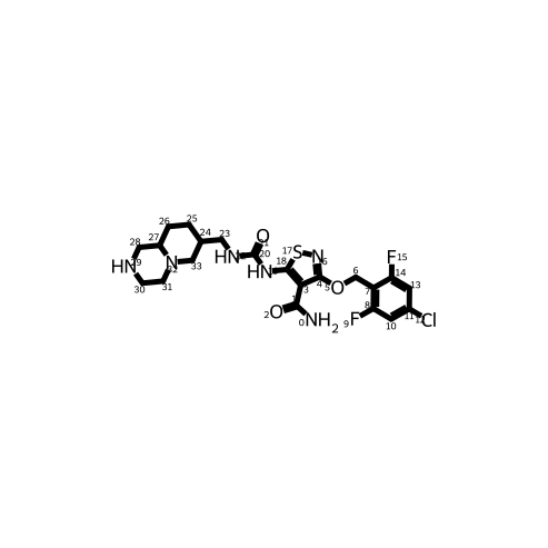 NC(=O)c1c(OCc2c(F)cc(Cl)cc2F)nsc1NC(=O)NCC1CCC2CNCCN2C1